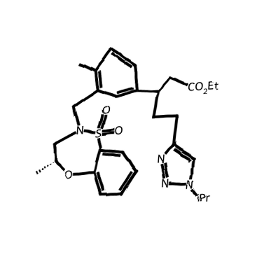 CCOC(=O)CC(CCc1cn(C(C)C)nn1)c1ccc(C)c(CN2C[C@@H](C)Oc3ccccc3S2(=O)=O)c1